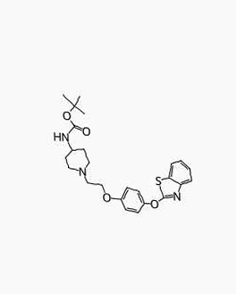 CC(C)(C)OC(=O)NC1CCN(CCOc2ccc(Oc3nc4ccccc4s3)cc2)CC1